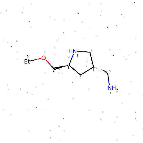 CCOC[C@@H]1C[C@@H](CN)CN1